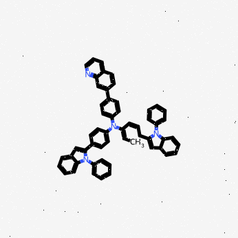 C/C=C(\C=C/CC1=CC2C=CC=CC2N1c1ccccc1)N(c1ccc(-c2ccc3cccnc3c2)cc1)c1ccc(-c2cc3ccccc3n2-c2ccccc2)cc1